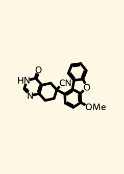 COc1ccc(C2(C#N)CCc3nc[nH]c(=O)c3C2)c2c1oc1ccccc12